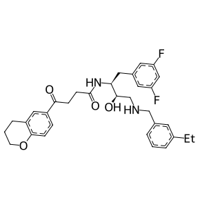 CCc1cccc(CNC[C@@H](O)[C@H](Cc2cc(F)cc(F)c2)NC(=O)CCC(=O)c2ccc3c(c2)CCCO3)c1